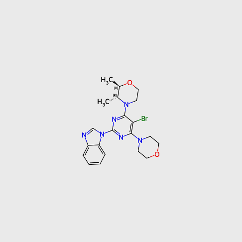 C[C@@H]1[C@@H](C)OCCN1c1nc(-n2cnc3ccccc32)nc(N2CCOCC2)c1Br